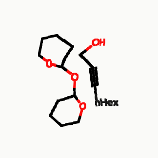 C1CCC(OC2CCCCO2)OC1.CCCCCCC#CCO